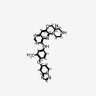 Cc1cc(Nc2ncnc3cc4c(nc23)N2CCNC[C@H]2CO4)ccc1Oc1ccn2ncnc2c1